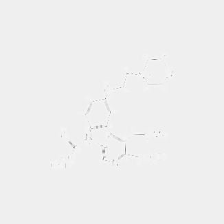 CCOC(=O)c1ncc2c(c1COC)c1cc(OCCN3CCOCC3)ccc1n2C(=O)OC(C)(C)C